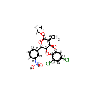 C=C(C(=O)OCC)C(=O)C(Cc1cccc([N+](=O)[O-])c1)Oc1ccc(Cl)cc1Cl